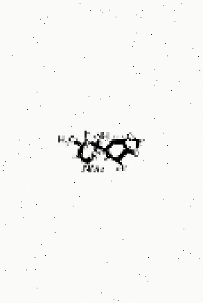 CNC1=NC(N)(c2cc(Br)c3c(c2)OCO3)NC(C)=C1